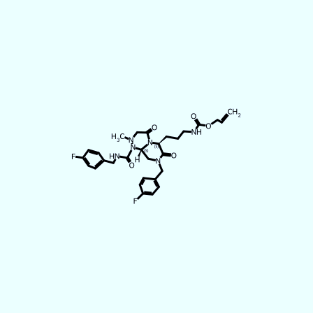 C=CCOC(=O)NCCC[C@H]1C(=O)N(Cc2ccc(F)cc2)C[C@H]2N1C(=O)CN(C)N2C(=O)NCc1ccc(F)cc1